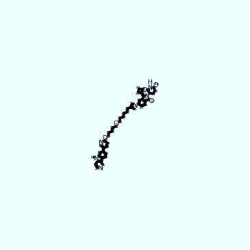 Cn1c2ccncc2c2ccc(-c3ccc(OCCCCCOCCCCCCC4CN(c5ccc6c(c5)C(=C5CCC5)N(C5CCC(=O)NC5=O)C6=O)C4)nc3)cc21